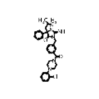 CC(C)CC1(c2ccccc2)NC(=N)N(Cc2cccc(C(=O)N3CCN(c4ccccc4Cl)CC3)c2)C1=O